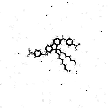 CCCCCCCCC1(CCCCCCCC)c2cc(Nc3ccc([N+](=O)[O-])cc3)ccc2-c2ccc(Nc3ccc([N+](=O)[O-])cc3)cc21